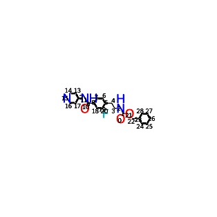 O=C(NCCc1ccc(C(=O)Nc2ccncc2)cc1F)OCc1ccccc1